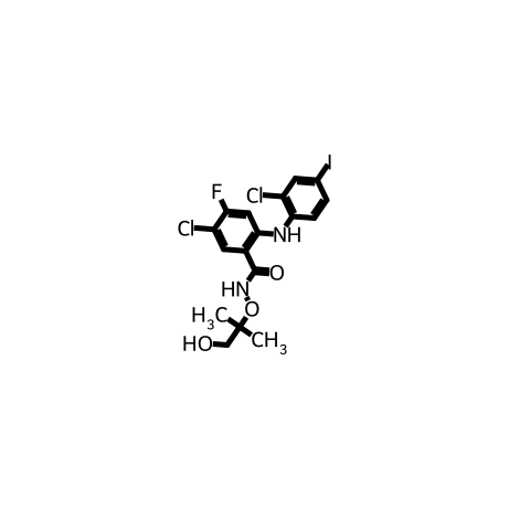 CC(C)(CO)ONC(=O)c1cc(Cl)c(F)cc1Nc1ccc(I)cc1Cl